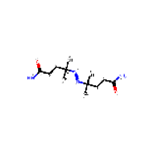 CC(C#N)(CCC(N)=O)N=NC(C)(C#N)CCC(N)=O